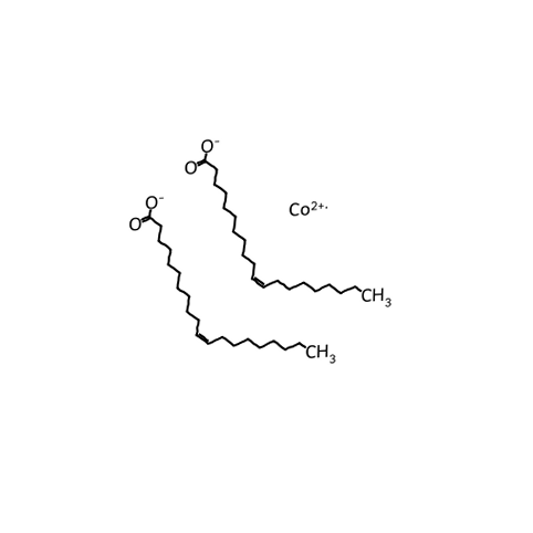 CCCCCCCC/C=C\CCCCCCCCCC(=O)[O-].CCCCCCCC/C=C\CCCCCCCCCC(=O)[O-].[Co+2]